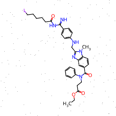 CCOC(=O)CCN(C(=O)c1ccc2c(c1)nc(CNc1ccc(C(=N)NC(=O)CCCCCI)cc1)n2C)c1ccccc1